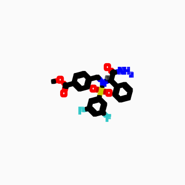 COC(=O)c1ccc(CN([C@@H](C(N)=O)c2ccccc2)S(=O)(=O)c2cc(F)cc(F)c2)cc1